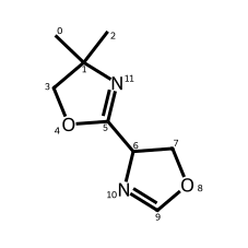 CC1(C)COC(C2COC=N2)=N1